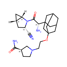 N#C[C@@H]1C[C@@H]2C[C@@H]2N1C(=O)[C@@H](N)C12CC3CC(CC(OCCN4CC[C@@H](C(N)=O)C4)(C3)C1)C2